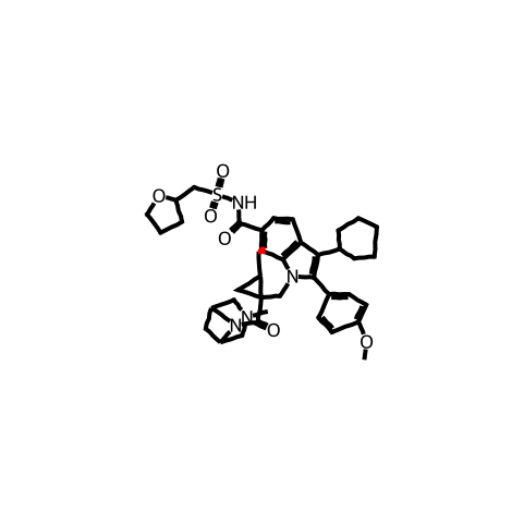 COc1ccc(-c2c(C3CCCCC3)c3ccc(C(=O)NS(=O)(=O)CC4CCCO4)cc3n2CC2(C(=O)N3C4CC3CN(C)C4)CC2C)cc1